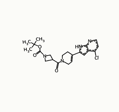 CC(C)(C)OC(=O)N1CC(C(=O)N2CC=C(c3cc4c(Cl)ccnc4[nH]3)CC2)C1